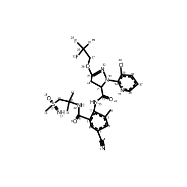 Cc1cc(C#N)cc(C(=O)NC(C)(C)CS(C)(=N)=O)c1NC(=O)C1CC(OCC(F)(F)F)=NN1c1ncccc1Cl